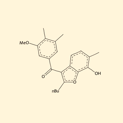 CCCCc1oc2c(O)c(C)ccc2c1C(=O)c1cc(C)c(C)c(OC)c1